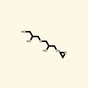 C1CO1.OCC(O)COCC(O)CO